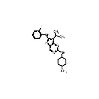 CC(C)n1c(Nc2ccccc2F)nc2cnc(NC3CCN(C)CC3)nc21